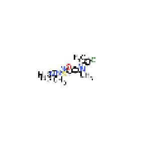 Cc1nn(Cc2ccc(Cl)cc2C(F)(F)F)c2ccc(/C=C3/SC(N4CCN(C)C(C)(C)C4)=NC3=O)cc12